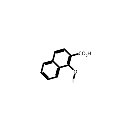 O=C(O)c1ccc2ccccc2c1OI